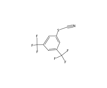 N#CSc1cc(C(F)(F)F)cc(C(F)(F)F)c1